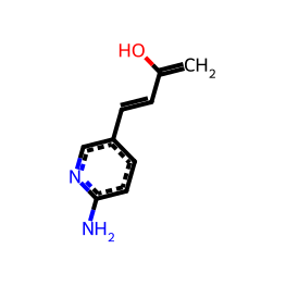 C=C(O)/C=C/c1ccc(N)nc1